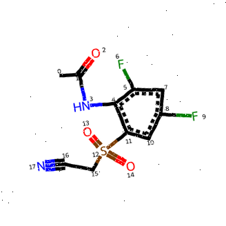 CC(=O)Nc1c(F)cc(F)cc1S(=O)(=O)CC#N